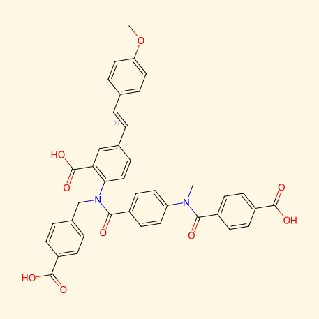 COc1ccc(/C=C/c2ccc(N(Cc3ccc(C(=O)O)cc3)C(=O)c3ccc(N(C)C(=O)c4ccc(C(=O)O)cc4)cc3)c(C(=O)O)c2)cc1